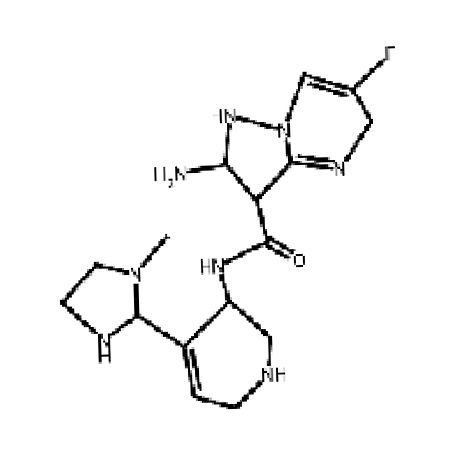 CN1CCNC1C1=CCNCC1NC(=O)C1C2=NCC(F)=CN2NC1N